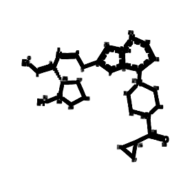 CC/C=C(\N=C/Cc1cc2c(N3CCN(C(=O)C4CC4)CC3)ccnn2c1)[C@@H]1CCCN1C(C)C